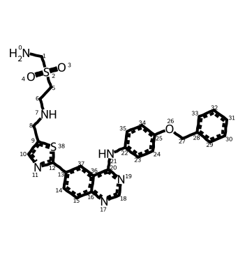 NCS(=O)(=O)CCNCc1cnc(-c2ccc3ncnc(Nc4ccc(OCc5ccccc5)cc4)c3c2)s1